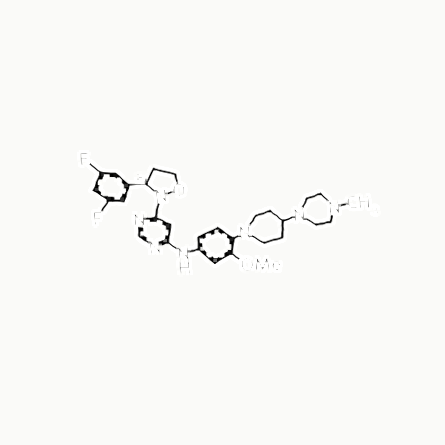 COc1cc(Nc2cc(N3OCC[C@@H]3c3cc(F)cc(F)c3)ncn2)ccc1N1CCC(N2CCN(C)CC2)CC1